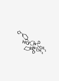 CC(NC(=O)C1CCCC1)C(C)C(=O)N1CCC(O)(c2ccc(Cl)cc2)CC1